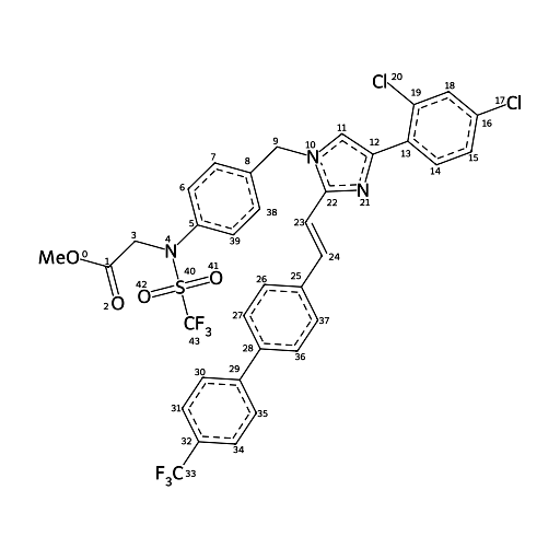 COC(=O)CN(c1ccc(Cn2cc(-c3ccc(Cl)cc3Cl)nc2C=Cc2ccc(-c3ccc(C(F)(F)F)cc3)cc2)cc1)S(=O)(=O)C(F)(F)F